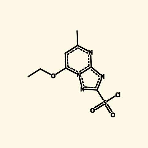 CCOc1cc(C)nc2nc(S(=O)(=O)Cl)nn12